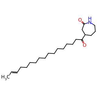 CC=CCCCCCCCCCCCCCC(=O)C1CCCNC(=O)C1